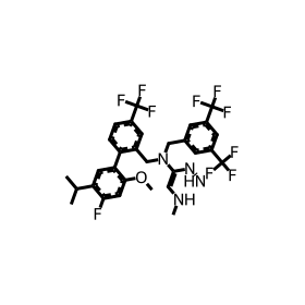 CN/C=C(\N=N)N(Cc1cc(C(F)(F)F)cc(C(F)(F)F)c1)Cc1cc(C(F)(F)F)ccc1-c1cc(C(C)C)c(F)cc1OC